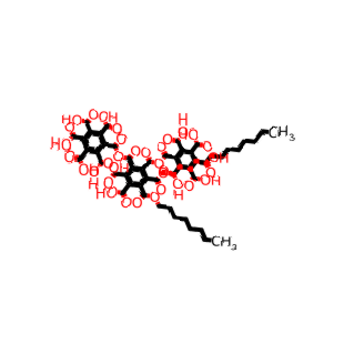 CCCCCCCCCCCCCOC(=O)c1c(C(=O)OCCCCCCCC)c(C(=O)O)c(C(=O)O)c(C(=O)OC(=O)c2c(C(=O)O)c(C(=O)O)c(C(=O)O)c(C(=O)O)c2C(=O)O)c1C(=O)OC(=O)c1c(C(=O)O)c(C(=O)O)c(C(=O)O)c(C(=O)O)c1C(=O)O